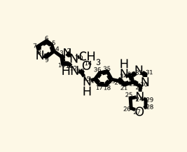 Cn1nc(-c2cccnc2)cc1NC(=O)Nc1ccc(-c2cc3c(N4CCOCC4)ncnc3[nH]2)cc1